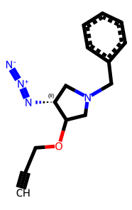 C#CCOC1CN(Cc2ccccc2)C[C@H]1N=[N+]=[N-]